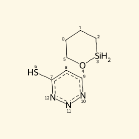 C1CC[SiH2]OC1.Sc1ccnnn1